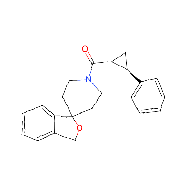 O=C(C1C[C@H]1c1ccccc1)N1CCC2(CC1)OCc1ccccc12